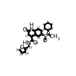 CN(C1CCCCC1)[S+]([O-])c1ccc2[nH]c(=O)cc(C(=O)NCc3ccco3)c2c1